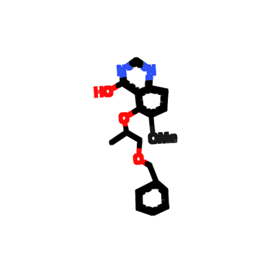 COc1ccc2ncnc(O)c2c1OC(C)COCc1ccccc1